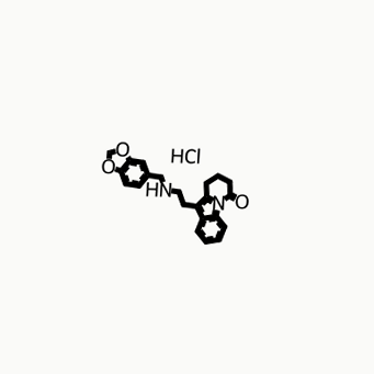 Cl.O=C1CCCc2c(CCNCc3ccc4c(c3)OCO4)c3ccccc3n21